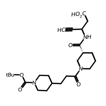 C#CC(CC(=O)O)NC(=O)[C@@H]1CCCN(C(=O)CCC2CCN(C(=O)OC(C)(C)C)CC2)C1